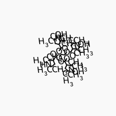 CC1(C)CC(C(=O)OC(OC(=O)C2CC(C)(C)N(O)C2(C)C)C(OC(=O)C2CC(C)(C)N(O)C2(C)C)OC(=O)C2CC(C)(C)N(O)C2(C)C)C(C)(C)N1